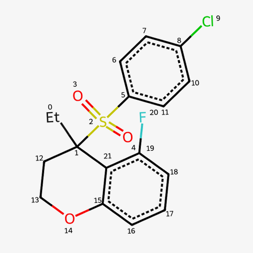 CCC1(S(=O)(=O)c2ccc(Cl)cc2)CCOc2cccc(F)c21